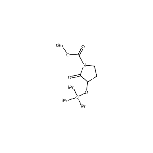 CC(C)[Si](OC1CCN(C(=O)OC(C)(C)C)C1=O)(C(C)C)C(C)C